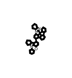 c1ccc2c(c1)Oc1ccc(-c3ccc4c(c3)C3(c5ccccc5-c5ccccc53)c3nc5ccccc5n3-4)c3c4ccccc4n-2c13